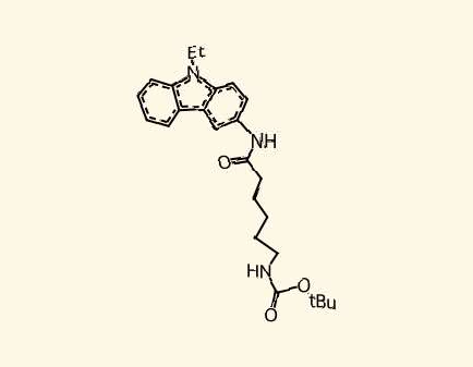 CCn1c2ccccc2c2cc(NC(=O)CCCCCNC(=O)OC(C)(C)C)ccc21